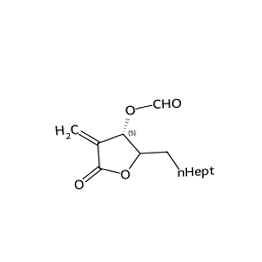 C=C1C(=O)OC(CCCCCCCC)[C@H]1OC=O